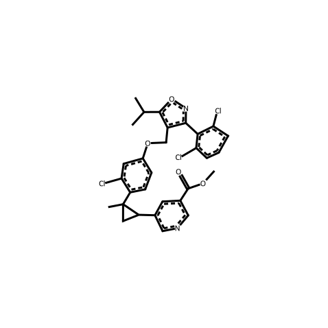 COC(=O)c1cncc(C2CC2(C)c2ccc(OCc3c(-c4c(Cl)cccc4Cl)noc3C(C)C)cc2Cl)c1